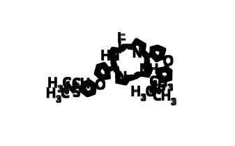 C[N+](C)(C)Sc1ccc(Oc2cccc(-c3c4nc(cc5ccc([nH]5)c(-c5cccc(Oc6ccc(S[N+](C)(C)C)cc6)c5)c5nc(cc6ccc3[nH]6)C=C5)C=C4)c2)cc1.[I-].[I-]